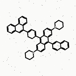 C1=C(c2c3cc(N4CCCCC4)ccc3c(-c3ccc4ccccc4c3)c3cc(N4CCCCC4)ccc23)CCC(c2cc3ccccc3c3ccccc23)=C1